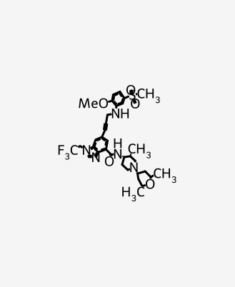 COc1ccc(S(C)(=O)=O)cc1NCC#Cc1cc(C(=O)N[C@H]2CCN(C3CC(C)OC(C)C3)C[C@@H]2C)c2ncn(CC(F)(F)F)c2c1